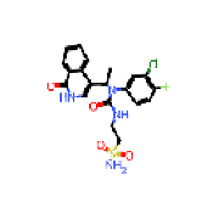 CC(c1c[nH]c(=O)c2ccccc12)N(C(=O)NCCS(N)(=O)=O)c1ccc(F)c(Cl)c1